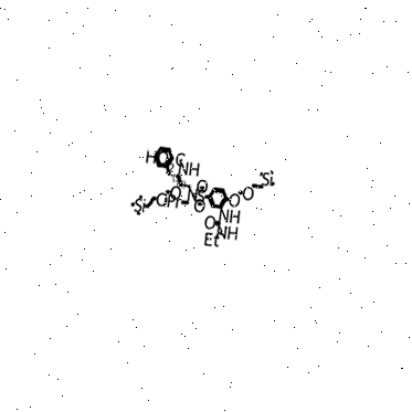 CCNC(=O)Nc1cc(S(=O)(=O)N(CC(C)C)C[C@@H](OCOCC[Si](C)(C)C)[C@H](Cc2ccccc2)NC(=O)O)ccc1OCOCC[Si](C)(C)C